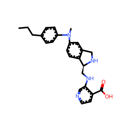 CCCc1ccc(N(C)c2ccc3c(c2)CN[C@H]3CNc2cnccc2C(=O)O)cc1